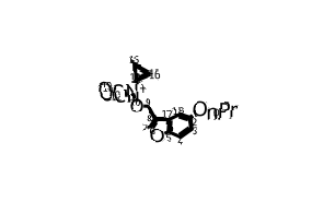 CCCOc1ccc2occ(CO[N+](=C=O)C3CC3)c2c1